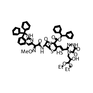 CCOC(OCC)C(O)Cn1c(C(S)=CC2=C(C(=O)OC(c3ccccc3)c3ccccc3)N3C(=O)C(NC(=O)C(=NOC)c4csc(NC(c5ccccc5)(c5ccccc5)c5ccccc5)n4)C3SC2)n[nH]c(=O)c1=O